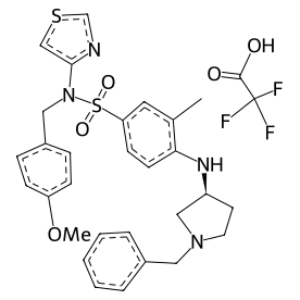 COc1ccc(CN(c2cscn2)S(=O)(=O)c2ccc(N[C@H]3CCN(Cc4ccccc4)C3)c(C)c2)cc1.O=C(O)C(F)(F)F